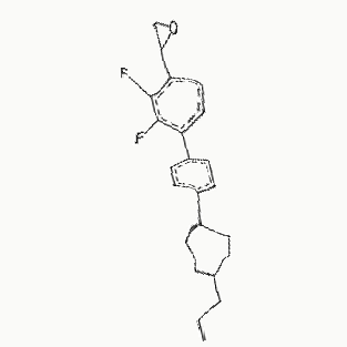 CCCC1CCC(c2ccc(-c3ccc(C4CO4)c(F)c3F)cc2)CC1